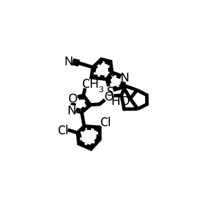 Cc1onc(-c2c(Cl)cccc2Cl)c1COC1CC2CCC(C1)C2(O)c1nc2ccc(C#N)cc2s1